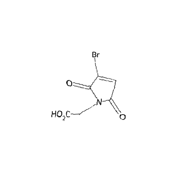 O=C(O)CN1C(=O)C=C(Br)C1=O